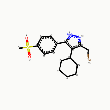 CS(=O)(=O)c1ccc(-c2[nH]nc(CBr)c2C2CCCCC2)cc1